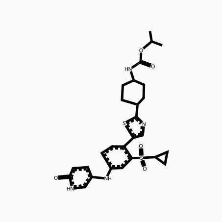 CC(C)OC(=O)NC1CCC(c2ncc(-c3ccc(Nc4ccc(=O)[nH]c4)cc3S(=O)(=O)C3CC3)s2)CC1